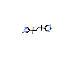 Cn1cc(C(C)(C)CCC(C)(C)c2cncnc2)cn1